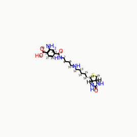 Nc1cc(C(=O)NCCCCNCCCCC[C@@H]2SC[C@@H]3NC(=O)N[C@@H]32)ccc1C(=O)O